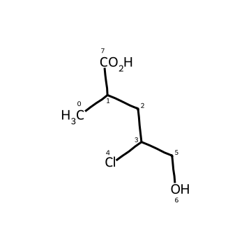 CC(CC(Cl)CO)C(=O)O